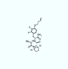 C=CCCOc1ccc(C[C@H](NC(=O)[C@@H]2[C@H]3CC[C@H](C3)N2C(=O)OC(C)(C)C)C(N)=O)c(F)c1F